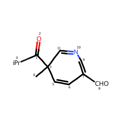 CC(C)C(=O)C1(C)C=CC(C=O)=CN=C1